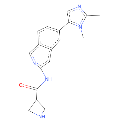 Cc1ncc(-c2ccc3cnc(NC(=O)C4CNC4)cc3c2)n1C